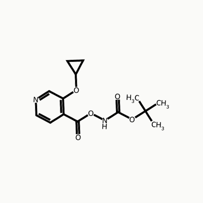 CC(C)(C)OC(=O)NOC(=O)c1ccncc1OC1CC1